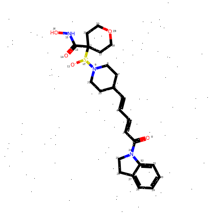 O=C(/C=C/C=C/C1CCN([S+]([O-])C2(C(=O)NO)CCOCC2)CC1)N1CCc2ccccc21